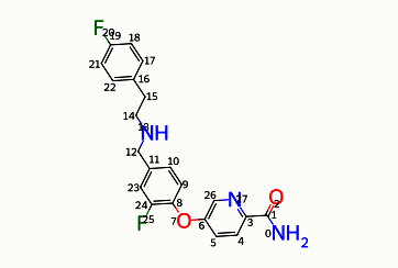 NC(=O)c1ccc(Oc2ccc(CNCCc3ccc(F)cc3)cc2F)cn1